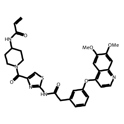 C=CC(=O)NC1CCN(C(=O)c2csc(NC(=O)Cc3cccc(Oc4ccnc5cc(OC)c(OC)cc45)c3)n2)CC1